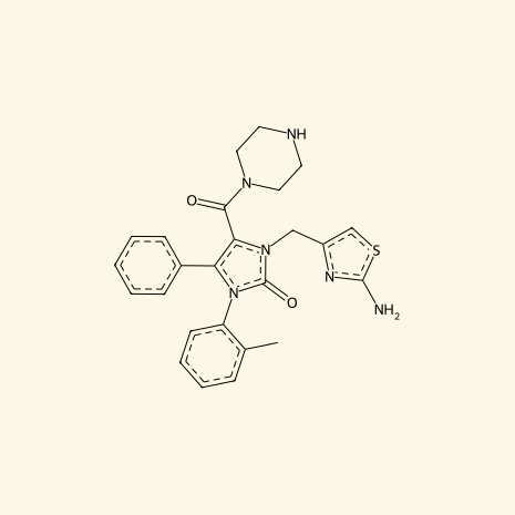 Cc1ccccc1-n1c(-c2ccccc2)c(C(=O)N2CCNCC2)n(Cc2csc(N)n2)c1=O